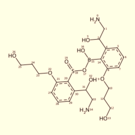 NCC(O)c1cccc(OCCCO)c1B(O)OS(=O)c1c(OCCCO)cccc1C(O)CN